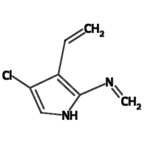 C=Cc1c(Cl)c[nH]c1N=C